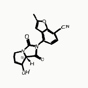 Cc1cc2c(N3C(=O)[C@@H]4C(O)CCN4C3=O)ccc(C#N)c2o1